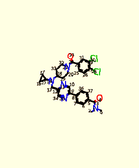 CN(C)C(=O)c1ccc(-c2cnc(CN(C3CC3)C3CCN(C(=O)c4ccc(Cl)c(Cl)c4)CC3)cn2)cc1